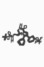 CC(C)(C)OC(=O)NCCC1CNC(=O)c2cc(-c3cccc(OC(F)(F)F)c3)c(-c3ccccc3)n21